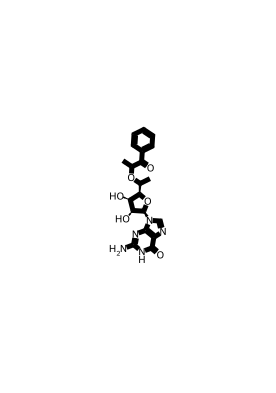 CC(OC(C)[C@H]1O[C@@H](n2cnc3c(=O)[nH]c(N)nc32)[C@H](O)[C@@H]1O)C(=O)c1ccccc1